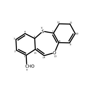 O=CC1=CC=CC2SC3=C(C=CCC3)OC=C12